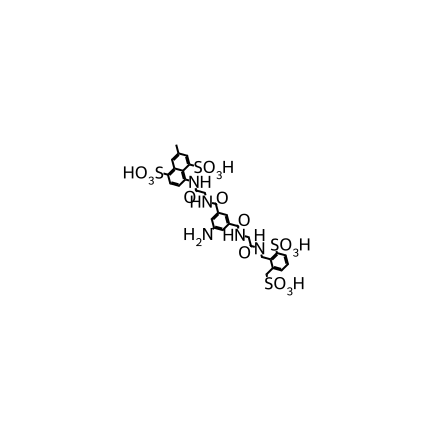 Cc1cc(S(=O)(=O)O)c2c(NC(=O)CNC(=O)c3cc(N)cc(C(=O)NCC(=O)NCc4c(CS(=O)(=O)O)cccc4S(=O)(=O)O)c3)ccc(S(=O)(=O)O)c2c1